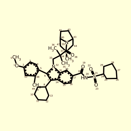 COc1ccc(-c2c(C3CCCCC3)c3ccc(C(=O)NS(=O)(=O)C4CCCCC4)cc3n2CC(C)(C)C(=O)N2C3CCC2CN(C)C3)c(C)c1